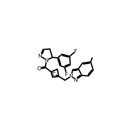 Cc1ccc2nn(CC34CC(C(=O)N5N=CCC5c5cc(F)cc(F)c5)(C3)C4)cc2c1